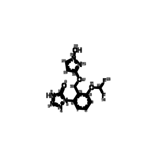 O=c1[nH]nnn1-c1cccc(OC(F)F)c1COc1ccn(O)n1